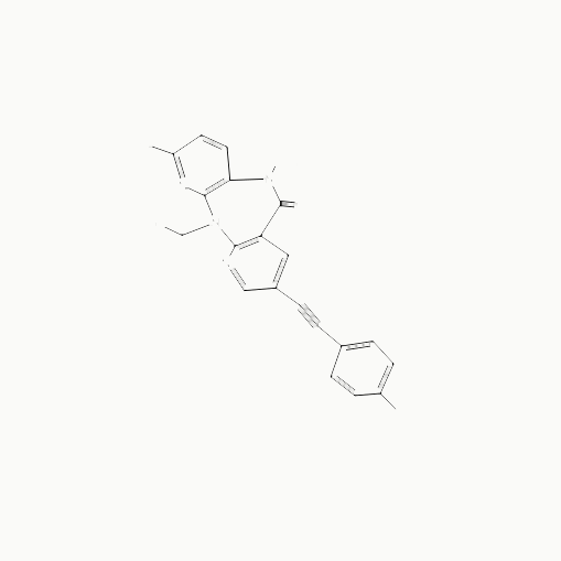 CCN1c2ncc(C#Cc3ccc(C)cc3)cc2C(=O)N(C)c2ccc(Cl)nc21